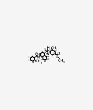 CCCC(=O)N1CC[C@H](NS(=O)(=O)c2ccc(NC(=O)c3ccccc3C)c3ccccc23)[C@H](C)C1